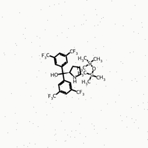 C[Si](C)(C)O[Si](C)(C)C.OC(c1cc(C(F)(F)F)cc(C(F)(F)F)c1)(c1cc(C(F)(F)F)cc(C(F)(F)F)c1)[C@H]1CCCN1